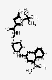 Cc1cc(C(=O)NC[C@H]2CC[C@@H](Nc3cc(N(C)C)c4ccccc4n3)CC2)nn1C(C)(C)C